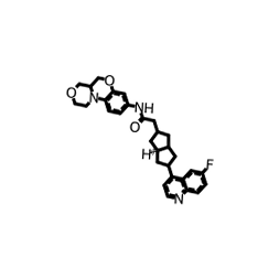 O=C(CC1CC2CC(c3ccnc4ccc(F)cc34)C[C@H]2C1)Nc1ccc2c(c1)OCC1COCCN21